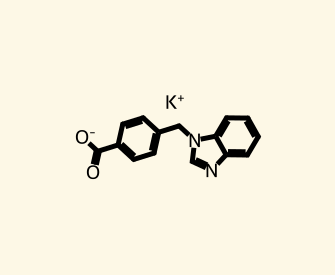 O=C([O-])c1ccc(Cn2cnc3ccccc32)cc1.[K+]